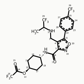 CC(NCc1c(C(=O)N[C@H]2CC[C@H](OC(=O)C(F)(F)F)CC2)noc1-c1ccc(C(F)(F)F)cc1)C(F)(F)F